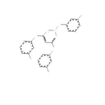 Clc1cccc(OC2=CC(Oc3cccc(Cl)c3)=NN(Oc3cccc(Cl)c3)N2)c1